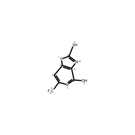 Oc1nc(C(F)(F)F)cc2sc(S)nc12